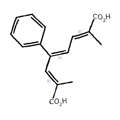 C\C(=C/C=C(/C=C(\C)C(=O)O)c1ccccc1)C(=O)O